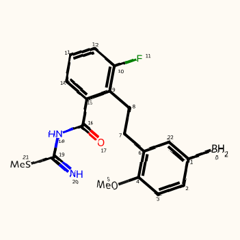 Bc1ccc(OC)c(CCc2c(F)cccc2C(=O)NC(=N)SC)c1